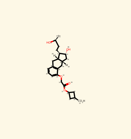 CC[C@H](O)CC[C@@H]1[C@H]2Cc3cccc(OCC(=O)OC4CC(C(=O)O)C4)c3C[C@H]2C[C@H]1O